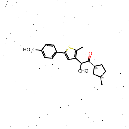 Cc1sc(-c2ccc(C(=O)O)cc2)cc1C(C=O)C(=O)[C@@H]1CC[C@@H](C)C1